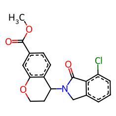 COC(=O)c1ccc2c(c1)OCCC2N1Cc2cccc(Cl)c2C1=O